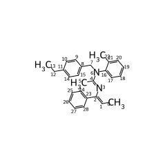 C/C=C(\N=C(/C)N(Cc1ccc(CC)cc1)c1ccccc1C)c1ccccc1